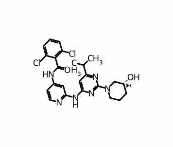 CC(C)c1cc(Nc2cc(NC(=O)c3c(Cl)cccc3Cl)ccn2)nc(N2CCC[C@@H](O)C2)n1